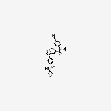 N#Cc1ccc(N(C(=O)c2ccn3ncc(-c4ccc(C(=O)NC5COC5)cc4)c3c2)C2CC2)nc1